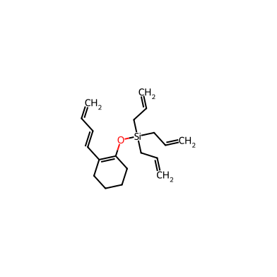 C=C/C=C/C1=C(O[Si](CC=C)(CC=C)CC=C)CCCC1